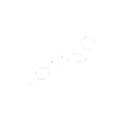 COc1ccc(C(=O)NC(=O)NNN(c2ccccc2)S(C)(=O)=O)cc1